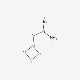 CCC(N)CC1CCC1